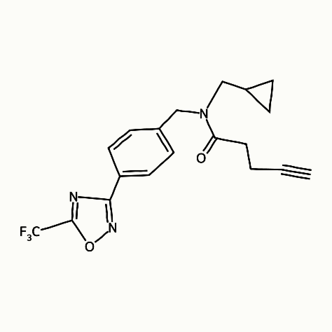 C#CCCC(=O)N(Cc1ccc(-c2noc(C(F)(F)F)n2)cc1)CC1CC1